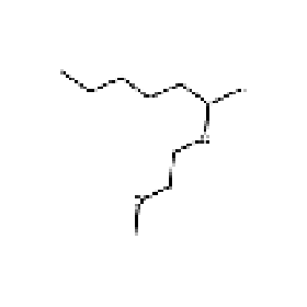 [CH2]C(CCCCC)OCCOC